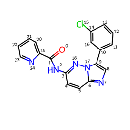 O=C(Nc1ccc2ncc(-c3cccc(Cl)c3)n2n1)c1ccccn1